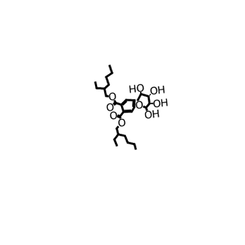 CCCCC(CC)COC(=O)c1ccccc1C(=O)OCC(CC)CCCC.OC1OC[C@@H](O)[C@H](O)[C@H]1O